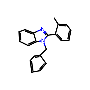 Cc1ccccc1-c1nc2ccccc2n1Cc1ccccc1